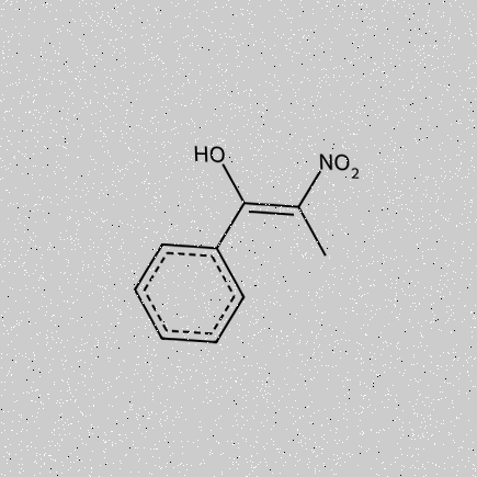 CC(=C(O)c1ccccc1)[N+](=O)[O-]